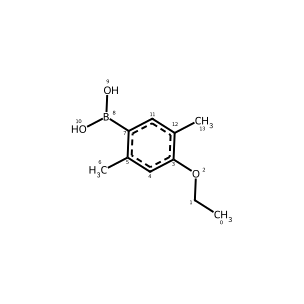 CCOc1cc(C)c(B(O)O)cc1C